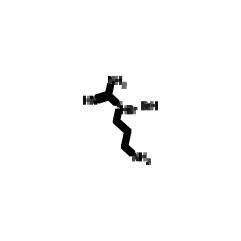 Br.Br.N=C(N)SCCCN